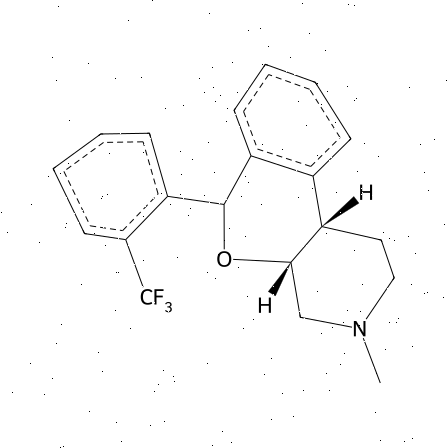 CN1CC[C@H]2c3ccccc3C(c3ccccc3C(F)(F)F)O[C@H]2C1